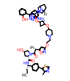 Cc1ncsc1-c1ccc([C@H](CCC#N)NC(=O)[C@@H]2C[C@@H](O)CN2C(=O)[C@@H](c2cc(OCCN3CCC(OC4CC(Oc5cc(N6C7CC[C@@H]6CN(c6cc(-c8ccccc8O)nnc6N)C7)ccn5)C4)CC3)no2)C(C)C)cc1